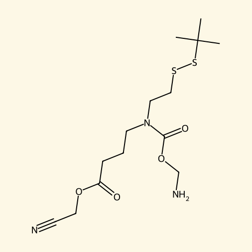 CC(C)(C)SSCCN(CCCC(=O)OCC#N)C(=O)OCN